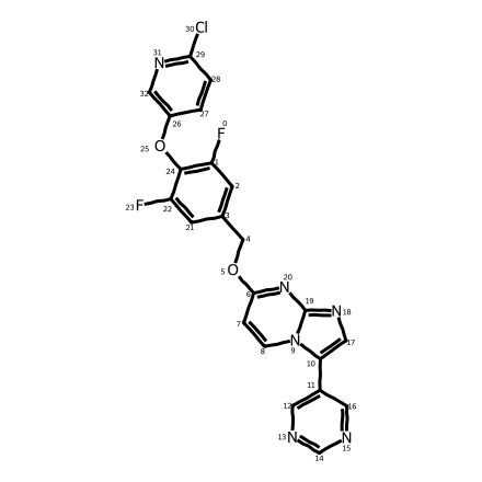 Fc1cc(COc2ccn3c(-c4cncnc4)cnc3n2)cc(F)c1Oc1ccc(Cl)nc1